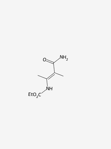 CCOC(=O)N/C(C)=C(\C)C(N)=O